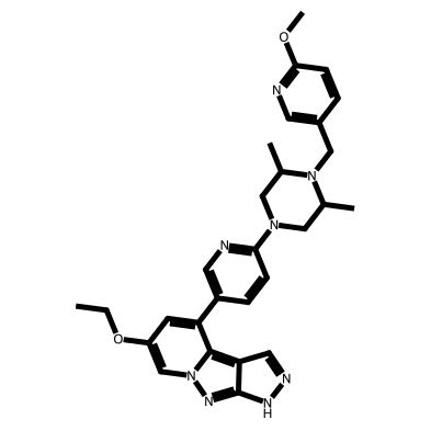 CCOc1cc(-c2ccc(N3CC(C)N(Cc4ccc(OC)nc4)C(C)C3)nc2)c2c3cn[nH]c3nn2c1